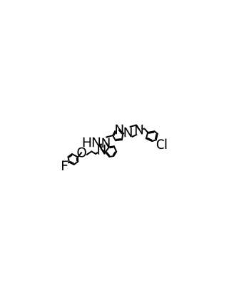 N=c1n(CCCOc2ccc(F)cc2)c2ccccc2n1Cc1ccc(N2CCN(Cc3ccc(Cl)cc3)CC2)nc1